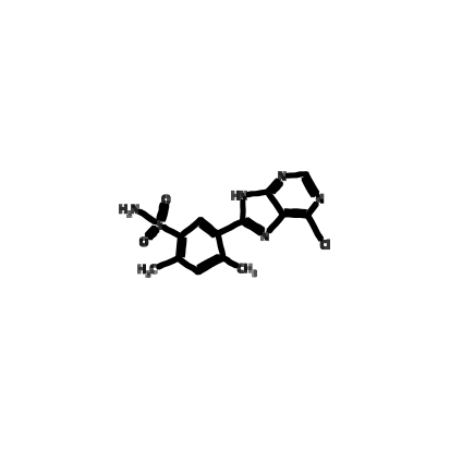 Cc1cc(C)c(S(N)(=O)=O)cc1-c1nc2c(Cl)ncnc2[nH]1